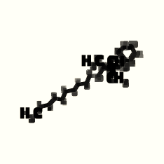 CCCCCCCCCCC[C@H](C)[N+](C)(C)Cc1ccccc1